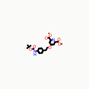 COC(=O)c1cc(OCCc2ccc(NC(=O)OC(C)(C)C)cc2)cc(C(=O)OC)n1